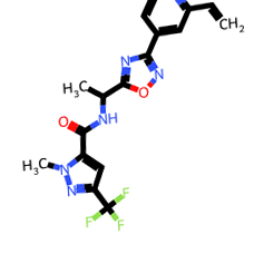 C=Cc1cc(-c2noc(C(C)NC(=O)c3cc(C(F)(F)F)nn3C)n2)ccn1